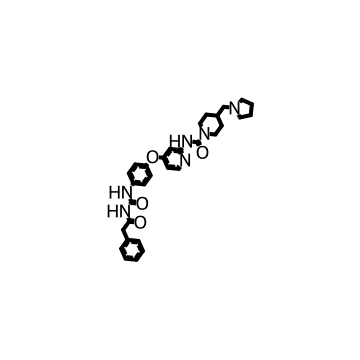 O=C(Cc1ccccc1)NC(=O)Nc1ccc(Oc2ccnc(NC(=O)N3CCC(CN4CCCC4)CC3)c2)cc1